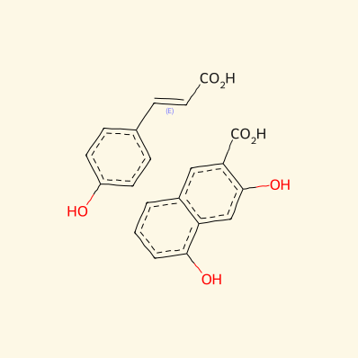 O=C(O)/C=C/c1ccc(O)cc1.O=C(O)c1cc2cccc(O)c2cc1O